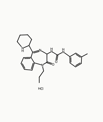 CCCN1C(=O)C(NC(=O)Nc2cccc(C)c2)N=C(C2CCCCN2)c2ccccc21.Cl